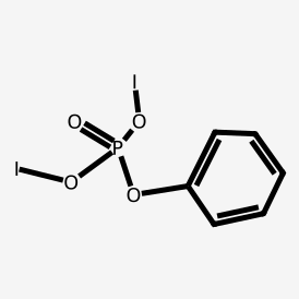 O=P(OI)(OI)Oc1ccccc1